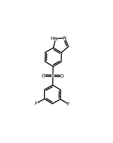 O=S(=O)(c1cc(F)cc(F)c1)c1ccc2[nH]ncc2c1